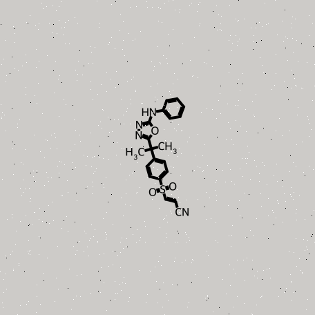 CC(C)(c1ccc(S(=O)(=O)C=CC#N)cc1)c1nnc(Nc2ccccc2)o1